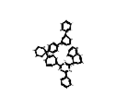 C1=CC(c2nc(-c3ccccc3)nc(-c3cccc4ccccc34)n2)=CC=C(C2(c3ccc(-c4cccc(-c5ccccc5)c4)cc3)CCCCC2)C1